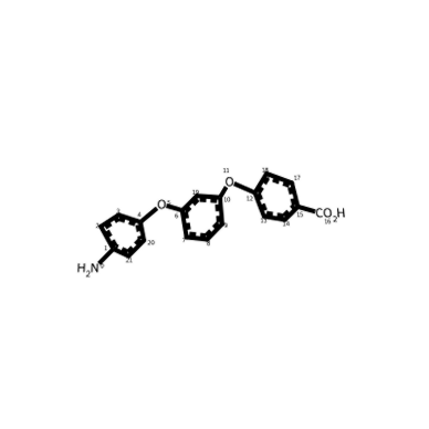 Nc1ccc(Oc2cccc(Oc3ccc(C(=O)O)cc3)c2)cc1